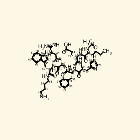 CCCC[C@H](NC(C)=O)C(=O)N[C@@H](CCC(=O)O)C(=O)N[C@@H](Cc1c[nH]cn1)C(=O)N[C@H](Cc1ccccc1)C(=O)N[C@@H](CC(F)CNC(=N)N)C(=O)N[C@@H](Cc1c[nH]c2ccccc12)C(=O)NCCCCN